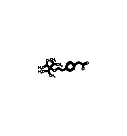 CC(C)[Si](OCCc1ccc(CC(=O)Cl)cc1)(C(C)C)C(C)C